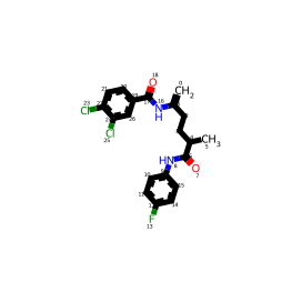 C=C(CCC(C)C(=O)Nc1ccc(F)cc1)NC(=O)c1ccc(Cl)c(Cl)c1